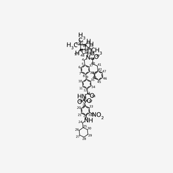 C[C@@H]1[C@@H](N(Cc2ccc(-c3ccc(C(=O)NS(=O)(=O)c4ccc(NCC5CCCCC5)c([N+](=O)[O-])c4)cc3)cc2)C(=O)CCc2ccccc2)C[C@H]2C[C@@H]1C2(C)C